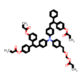 C=CC(=O)OCOCCc1ccc(N(c2ccc(C=C(c3ccccc3)c3ccc(OC(=O)C=C)cc3)cc2)c2ccc(C=C(c3ccc(OC(=O)C=C)cc3)c3cccc(OC(=O)C=C)c3)cc2)cc1